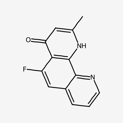 Cc1cc(=O)c2c(F)cc3cccnc3c2[nH]1